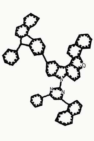 c1ccc(-c2cc(-c3cccc4ccccc34)nc(-n3c4ccc(-c5ccc6c(c5)C(c5ccccc5)c5ccc7ccccc7c5-6)cc4c4c5c(ccc43)oc3c4ccccc4ccc35)n2)cc1